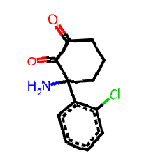 NC1(c2ccccc2Cl)CCCC(=O)C1=O